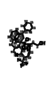 O=S(=O)(NCCO)C1(c2c(Cc3ccccc3)cnc3c(C(F)(F)F)cccc23)C=CC=C(c2ccccc2)C1